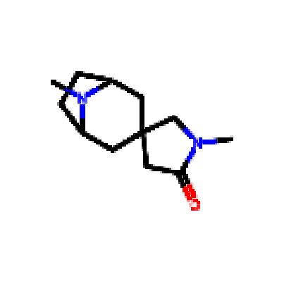 CN1CC2(CC1=O)CC1CCC(C2)N1C